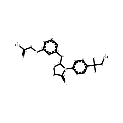 CC(C)(CO)c1ccc(N2C(=O)COC2Cc2cccc(OCC(=O)O)c2)cc1